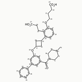 CN1CCN(C(=O)c2cc(OC3CC(c4cccc(OCCCC(=O)O)c4CCC(=O)O)C3)cc(-c3cccnc3)c2)CC1